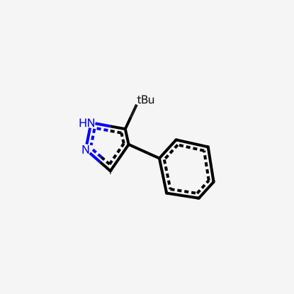 CC(C)(C)c1[nH]n[c]c1-c1ccccc1